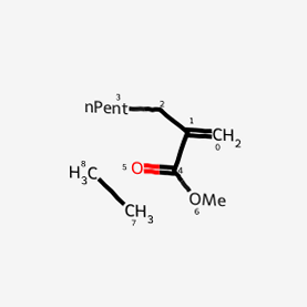 C=C(CCCCCC)C(=O)OC.CC